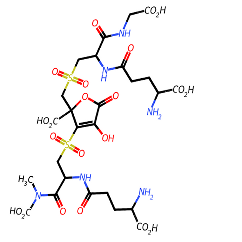 CN(C(=O)O)C(=O)C(CS(=O)(=O)C1=C(O)C(=O)OC1(CS(=O)(=O)CC(NC(=O)CCC(N)C(=O)O)C(=O)NCC(=O)O)C(=O)O)NC(=O)CCC(N)C(=O)O